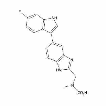 CN(Cc1nc2cc(-c3c[nH]c4cc(F)ccc34)ccc2[nH]1)C(=O)O